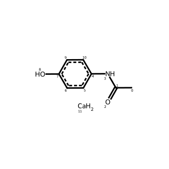 CC(=O)Nc1ccc(O)cc1.[CaH2]